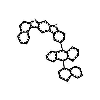 c1ccc2c(-c3c4ccccc4c(-c4ccc5oc6cc7oc8ccc9ccccc9c8c7cc6c5c4)c4ccccc34)cccc2c1